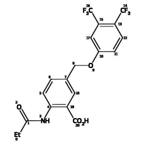 CCC(=O)Nc1ccc(COc2ccc(C(F)(F)F)c(C(F)(F)F)c2)cc1C(=O)O